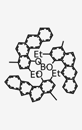 CCc1cc(C)c2ccc3cc4ccccc4cc3c2c1OB(Oc1c(CC)cc(C)c2ccc3cc4ccccc4cc3c12)Oc1c(CC)cc(C)c2ccc3cc4ccccc4cc3c12